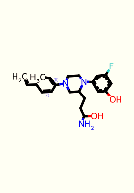 C=CC/C=C\C(=C/C)N1CCN(c2cc(O)cc(F)c2)C(CCC(N)O)C1